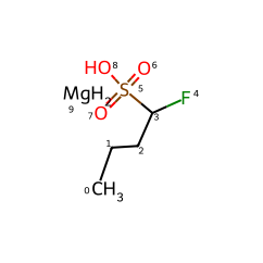 CCCC(F)S(=O)(=O)O.[MgH2]